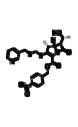 C[C@@H](O)[C@H]1C(=O)N2C(C(=O)OCc3ccc([N+](=O)[O-])cc3)=C(SCSCc3cccnc3)[C@H](C)[C@H]12